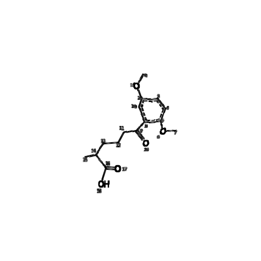 COc1ccc(OC)c(C(=O)CCCC(C)C(=O)O)c1